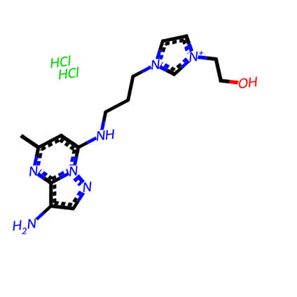 Cc1cc(NCCCn2cc[n+](CCO)c2)n2ncc(N)c2n1.Cl.Cl